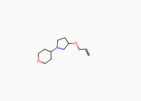 C=CCOC1CCN(C2CCOCC2)C1